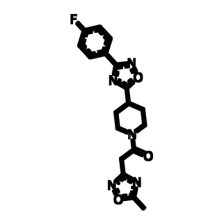 Cc1nc(CC(=O)N2CCC(c3nc(-c4ccc(F)cc4)no3)CC2)no1